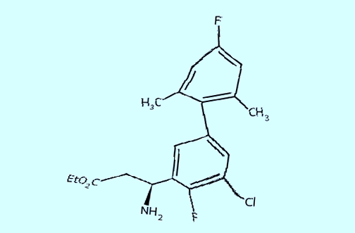 CCOC(=O)C[C@H](N)c1cc(-c2c(C)cc(F)cc2C)cc(Cl)c1F